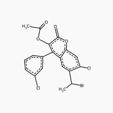 CC(=O)Oc1c(-c2cccc(Cl)c2)c2cc(C(C)Br)c(Cl)cc2oc1=O